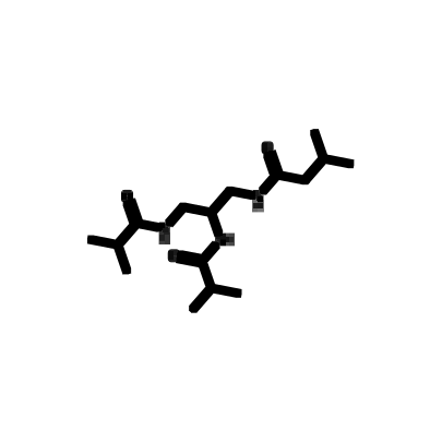 CC(C)CC(=O)NCC(CNC(=O)C(C)C)NC(=O)C(C)C